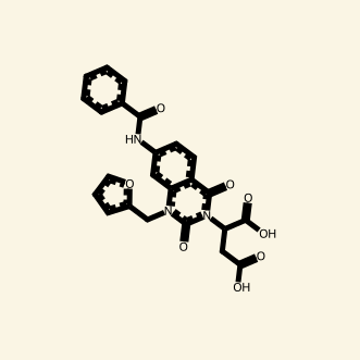 O=C(O)CC(C(=O)O)n1c(=O)c2ccc(NC(=O)c3ccccc3)cc2n(Cc2ccco2)c1=O